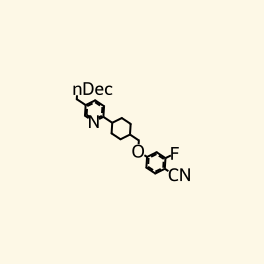 CCCCCCCCCCCc1ccc(C2CCC(COc3ccc(C#N)c(F)c3)CC2)nc1